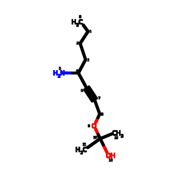 CCCCC(N)C#CCOC(C)(C)O